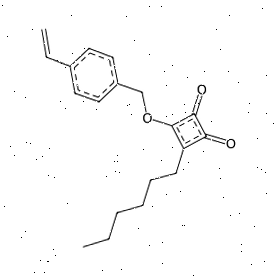 C=Cc1ccc(COc2c(CCCCCC)c(=O)c2=O)cc1